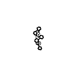 c1ccc(C2Cc3ccc4c(c3O2)c2ccccc2n4-c2cccc3c2sc2ccccc23)cc1